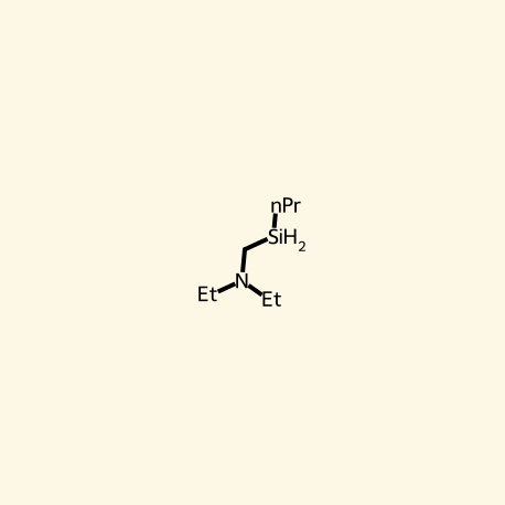 CCC[SiH2]CN(CC)CC